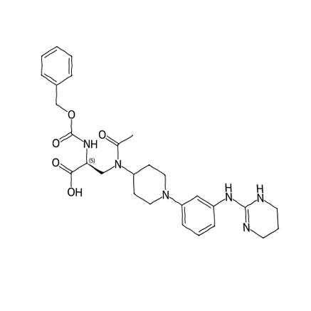 CC(=O)N(C[C@H](NC(=O)OCc1ccccc1)C(=O)O)C1CCN(c2cccc(NC3=NCCCN3)c2)CC1